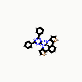 c1ccc(-c2nc(-c3ccccc3)nc(N3B4Nc5ccsc5-c5cccc(c54)-c4sccc43)n2)cc1